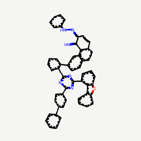 N=C1/C(=N\Nc2ccccc2)C=Cc2ccc3ccc(-c4ccccc4-c4nc(-c5ccc(-c6ccccc6)cc5)nc(-c5cccc6oc7ccccc7c56)n4)cc3c21